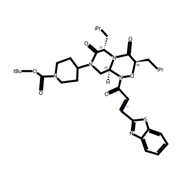 CC(C)C[C@H]1ON(C(=O)/C=C/c2nc3ccccc3s2)[C@H]2CN(C3CCN(C(=O)OC(C)(C)C)CC3)C(=O)[C@H](CC(C)C)N2C1=O